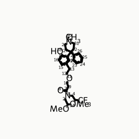 COC(CN(CCC(F)(F)F)C(=O)CCOCCc1ccc(O)c(C2(c3ccccc3)CCN(C)CC2)c1)OC